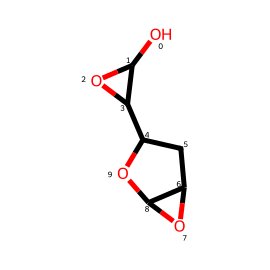 OC1OC1C1CC2OC2O1